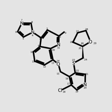 Cc1cc(-n2ccnc2)c2cccc(OCc3c(Cl)cncc3SC[C@H]3CCCO3)c2n1